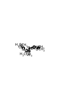 CC(C)[C@@H]1CN(c2ccc(C(=O)N(C)C)cn2)Cc2c(C(=O)NCc3ccc(NC(=O)N(C)C)cc3)n[nH]c21